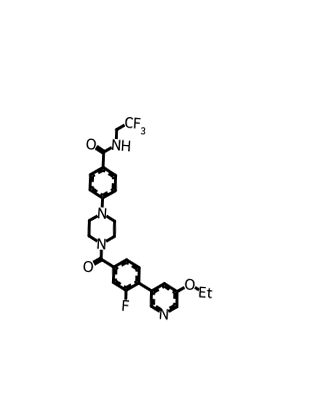 CCOc1cncc(-c2ccc(C(=O)N3CCN(c4ccc(C(=O)NCC(F)(F)F)cc4)CC3)cc2F)c1